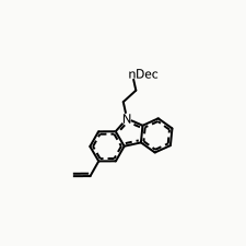 C=Cc1ccc2c(c1)c1ccccc1n2CCCCCCCCCCCC